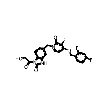 O=C(CO)n1c(=O)[nH]c2cc(Cn3ccc(OCc4ccc(F)cc4F)c(Cl)c3=O)ccc21